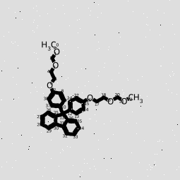 COCOCCOc1ccc(C2(c3ccc(OCCOCOC)cc3)c3ccccc3-c3ccccc32)cc1